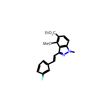 CCOC(=O)c1ccc2c(c(/C=C/c3cccc(F)c3)nn2C)c1OC